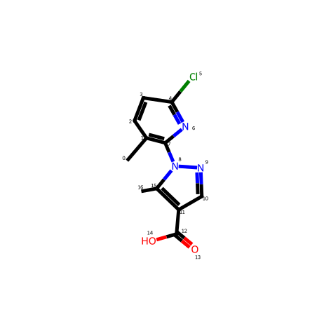 Cc1ccc(Cl)nc1-n1ncc(C(=O)O)c1C